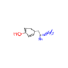 N=C(N)Cc1ccc(O)cc1